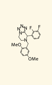 COc1ccc(OC)c(CN2CCn3nnnc3C2c2cccc(F)c2F)c1